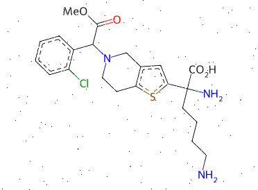 COC(=O)C(c1ccccc1Cl)N1CCc2sc(C(N)(CCCCN)C(=O)O)cc2C1